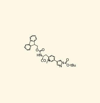 CC(C)(C)OC(=O)n1cc(-c2ccc(C[C@H](NC(=O)OCC3c4ccccc4-c4ccccc43)C(=O)O)cc2)cn1